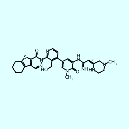 CN1CCN/C(=C\C(=N)Nc2cc(-c3ccnc(-n4ncc5c6c(sc5c4=O)CCCC6)c3CO)cn(C)c2=O)C1